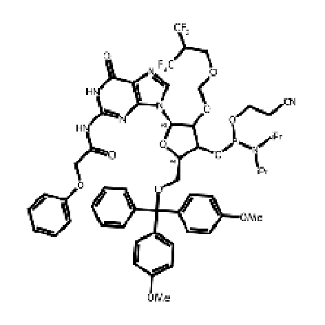 COc1ccc(C(OC[C@H]2O[C@@H](n3cnc4c(=O)[nH]c(NC(=O)COc5ccccc5)nc43)C(OCOCC(C(F)(F)F)C(F)(F)F)C2OP(OCCC#N)N(C(C)C)C(C)C)(c2ccccc2)c2ccc(OC)cc2)cc1